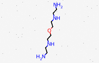 NCCNCCOCCNCCN